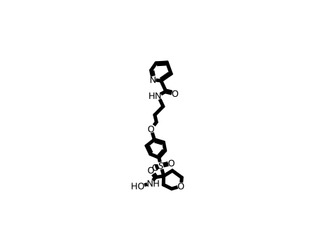 O=C(NCCCOc1ccc(S(=O)(=O)C2(C(=O)NO)CCOCC2)cc1)c1ccccn1